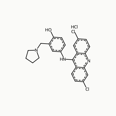 Cl.Oc1ccc(Nc2c3ccc(Cl)cc3nc3ccc(Cl)cc23)cc1CN1CCCC1